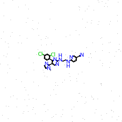 Cn1ccnc1-c1cnc(NCCNc2ccc(C#N)cn2)nc1-c1ccc(Cl)cc1Cl